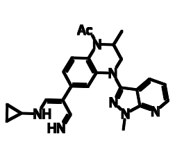 CC(=O)N1c2ccc(/C(C=N)=C/NC3CC3)cc2N(c2nn(C)c3ncccc23)CC1C